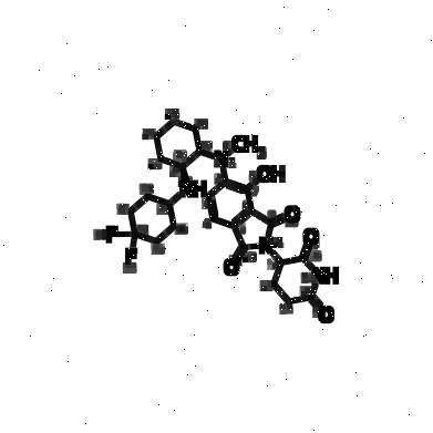 CN(c1ccc2c(c1O)C(=O)N(C1CCC(=O)NC1=O)C2=O)C1CCCC[C@@H]1NC1CCC(F)(F)CC1